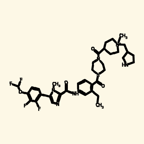 CCc1cc(NC(=O)c2ncc(-c3ccc(OC(F)F)c(F)c3F)n2C)ccc1C(=O)N1CCN(C(=O)C2CC[N+](C)(CC3CCNC3)CC2)CC1